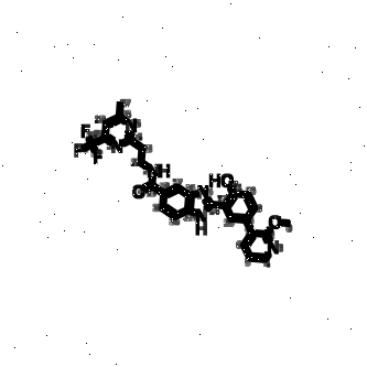 COc1ncccc1-c1ccc(O)c(-c2nc3cc(C(=O)NCCc4nc(C)cc(C(F)(F)F)n4)ccc3[nH]2)c1